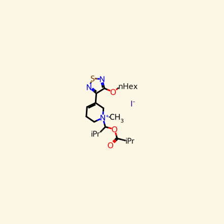 CCCCCCOc1nsnc1C1=CCC[N+](C)(C(OC(=O)C(C)C)C(C)C)C1.[I-]